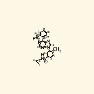 Cc1ccc(C(=O)NC2CC2)cc1-n1cnc2c(-c3ccccc3C(F)(F)F)ncnc21